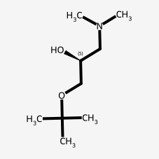 CN(C)C[C@H](O)COC(C)(C)C